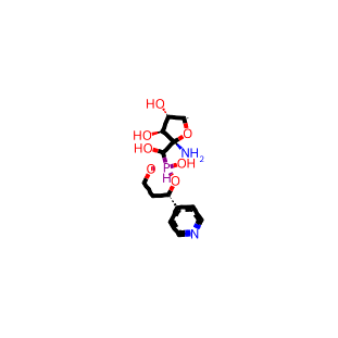 N[C@]1(C(O)[PH]2(O)OCC[C@@H](c3ccncc3)O2)O[CH][C@@H](O)[C@@H]1O